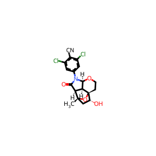 C[C@@]12C[C@@H](O)[C@]3(CCO[C@H]4[C@@H]3[C@@H]1C(=O)N4c1cc(Cl)c(C#N)c(Cl)c1)O2